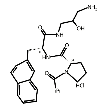 CC(C)C(=O)N1CCC[C@H]1C(=O)N[C@H](Cc1ccc2ccccc2c1)C(=O)NCC(O)CN.Cl